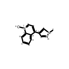 Cn1cc(-c2cc[n+]([O-])c3ccccc23)cn1